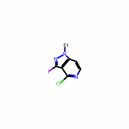 CCn1nc(I)c2c(Cl)nccc21